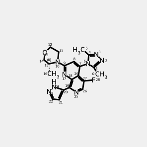 Cc1nnc(C)n1-c1cc(N2CCOC[C@H]2C)nc2c(-c3ccn[nH]3)ncc(F)c12